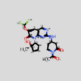 CC(=O)N1CCC(Nc2ncc3cc(OC(F)F)c(=O)n([C@@H]4CCC[C@@]4(C)O)c3n2)CC1=O